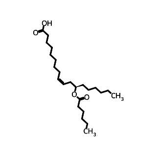 CCCCCC[C@H](C/C=C\CCCCCCCC(=O)O)OC(=O)CCCCC